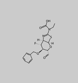 CCN(C(=O)O)C1=N[C@@H]2[C@@H](F)[C@H](OCc3ccccc3)[C@@H](C=O)O[C@@H]2S1